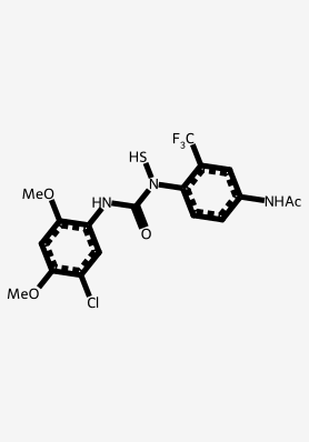 COc1cc(OC)c(NC(=O)N(S)c2ccc(NC(C)=O)cc2C(F)(F)F)cc1Cl